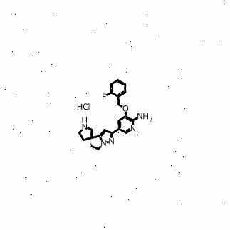 Cl.Nc1ncc(-c2cc3n(n2)CC[C@@]32CCNC2)cc1OCc1ccccc1F